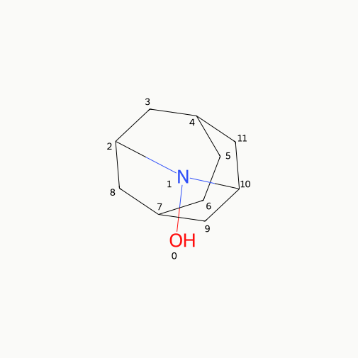 ON1C2CC3CCC(C2)CC1C3